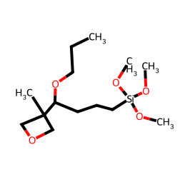 CCCOC(CCC[Si](OC)(OC)OC)C1(C)COC1